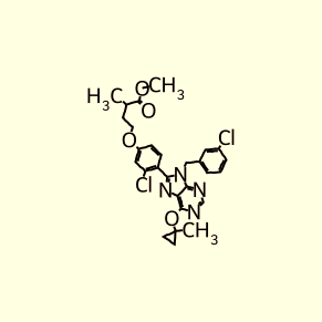 COC(=O)C(C)CCOc1ccc(-c2nc3c(OC4(C)CC4)ncnc3n2Cc2cccc(Cl)c2)c(Cl)c1